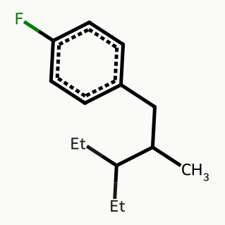 CCC(CC)C(C)Cc1ccc(F)cc1